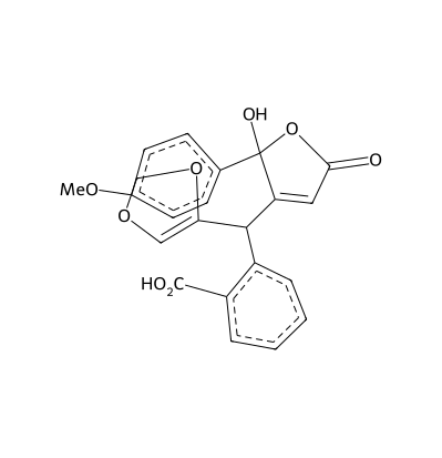 COc1ccc(C2(O)OC(=O)C=C2C(C2=COCO2)c2ccccc2C(=O)O)cc1